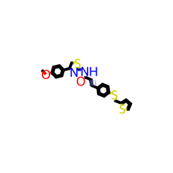 COc1ccc(C2CSC(NC(=O)/C=C/c3ccc(SCc4cccs4)cc3)=N2)cc1